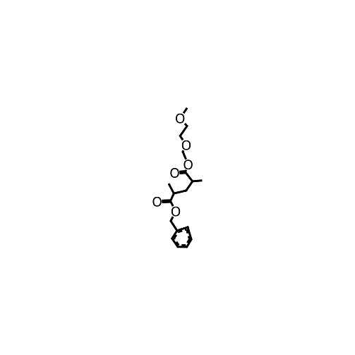 COCCOCOC(=O)C(C)CC(C)C(=O)OCc1ccccc1